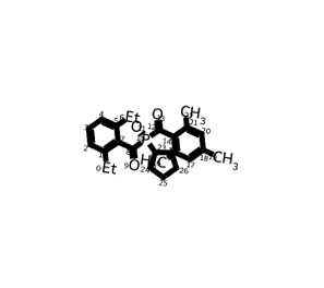 CCc1cccc(CC)c1C(=O)P(=O)(C(=O)c1c(C)cc(C)cc1C)C1CCCC1